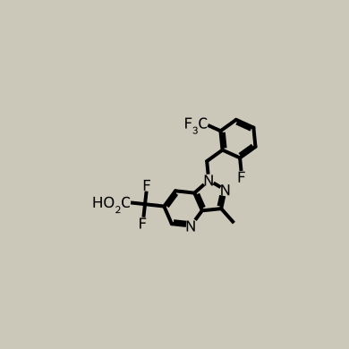 Cc1nn(Cc2c(F)cccc2C(F)(F)F)c2cc(C(F)(F)C(=O)O)cnc12